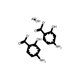 Nc1ccc(C(=O)[O-])c(O)c1.Nc1ccc(C(=O)[O-])c(O)c1.[OH][Al+2]